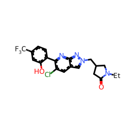 CCN1CC(Cn2cc3cc(Cl)c(-c4ccc(C(F)(F)F)cc4O)nc3n2)CC1=O